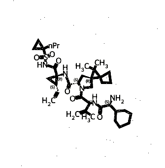 C=C[C@@H]1C[C@]1(NC(=O)[C@@H]1C[C@@]2(CN1C(=O)[C@@H](NC(=O)[C@@H](N)C1CCCCC1)C(=C)C)C(C)(C)C21CCC1)C(=O)NS(=O)(=O)C1(CCC)CC1